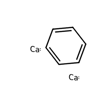 [Ca].[Ca].c1ccccc1